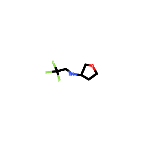 FC(F)(F)CNC1CCOC1